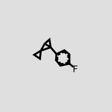 Fc1ccc(C23CC2C32CC2)cc1